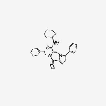 O=C(NC1CCCCC1)c1cn2c(-c3ccccc3)ccc2c(=O)n1CCC1=CCCCC1